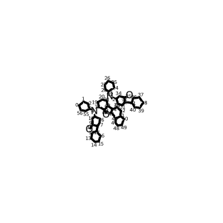 c1ccc(N(c2ccc3c(c2)oc2ccccc23)c2ccc(N(c3ccccc3)c3ccc4c(c3)oc3ccccc34)c3c2oc2c4ccccc4ccc23)cc1